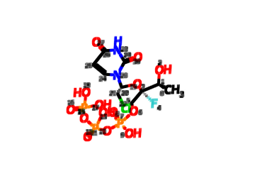 C[C@H](O)[C@@](F)(COP(=O)(O)OP(=O)(O)OP(=O)(O)O)O[C@H](CCl)n1ccc(=O)[nH]c1=O